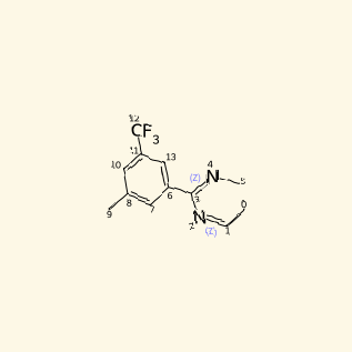 C/C=N\C(=N/C)c1cc(C)cc(C(F)(F)F)c1